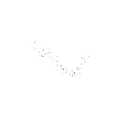 Cc1c(Nc2nccc3cc(CN4CC[C@@H](O)C4)cnc23)cccc1-c1cccc(NC(=O)c2cc3n(n2)CCCC3NC[C@@H]2CCC(=O)N2)c1Cl